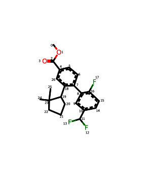 COC(=O)c1ccc(-c2cc(C(F)F)ccc2F)c(C2CCCC2(C)C)c1